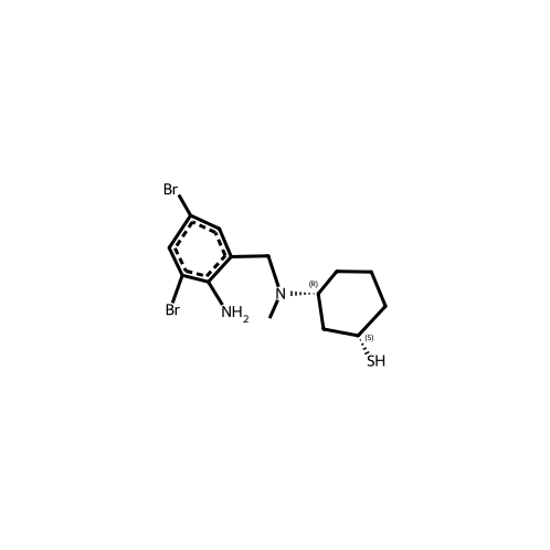 CN(Cc1cc(Br)cc(Br)c1N)[C@@H]1CCC[C@H](S)C1